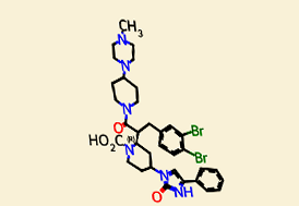 CN1CCN(C2CCN(C(=O)C(Cc3ccc(Br)c(Br)c3)[C@H]3CC(n4cc(-c5ccccc5)[nH]c4=O)CCN3C(=O)O)CC2)CC1